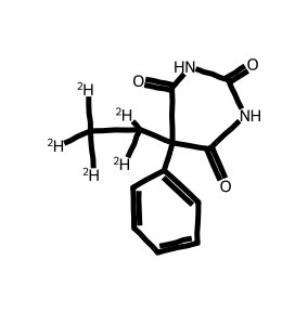 [2H]C([2H])([2H])C([2H])([2H])C1(c2ccccc2)C(=O)NC(=O)NC1=O